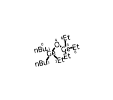 CCC[CH2][Ge]([CH2]C)([CH2]CCC)[O][Ge]([CH2]C)([CH2]C)[CH2]C